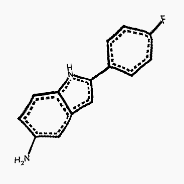 Nc1ccc2[nH]c(-c3ccc(F)cc3)cc2c1